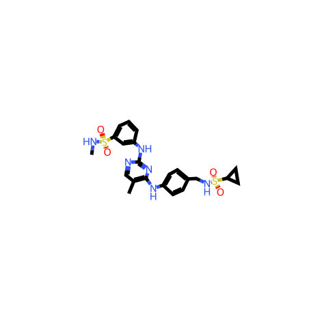 CNS(=O)(=O)c1cccc(Nc2ncc(C)c(Nc3ccc(CNS(=O)(=O)C4CC4)cc3)n2)c1